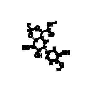 COC(=O)C[C@H]1O[C@H](c2ccc(OC)c(O)c2)[C@@H](O)[C@@H](O)[C@@H]1OC(C)=O